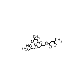 CC(=O)CC(=O)OCC(COCC(O)CO)OC(=O)CC(C)=O